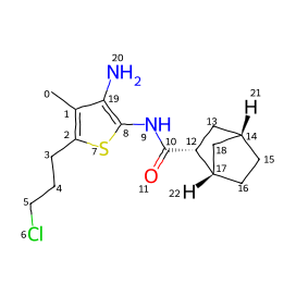 Cc1c(CCCCl)sc(NC(=O)[C@@H]2C[C@@H]3CC[C@H]2C3)c1N